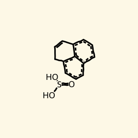 C1=Cc2cccc3cccc(c23)C1.O=S(O)O